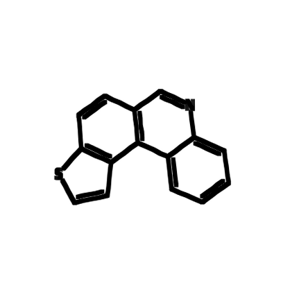 c1ccc2c(c1)ncc1ccc3sccc3c12